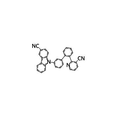 N#Cc1ccc2c(c1)c1ccccc1n2-c1cccc(-c2ccccc2-c2ncccc2C#N)c1